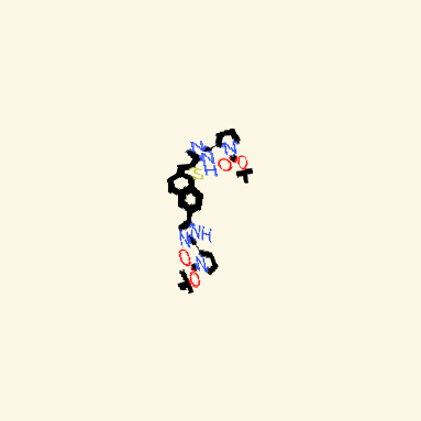 CC(C)(C)OC(=O)N1CCC[C@H]1c1ncc(-c2ccc3c(c2)CCc2cc(-c4cnc([C@@H]5CCCN5C(=O)OC(C)(C)C)[nH]4)sc2-3)[nH]1